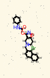 O=C(Nc1ccccc1)Oc1noc2c1CN(Cc1ccc3ccccc3c1Br)CC2